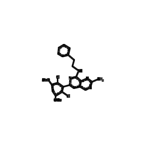 COc1cc(OC)c(Cl)c(-c2cc3cnc(N)nc3c(NCCc3ccccc3)n2)c1Cl